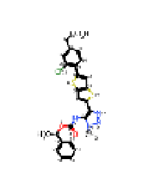 C[C@@H](OC(=O)Nc1c(-c2cc3sc(-c4ccc(CC(=O)O)cc4Cl)cc3s2)nnn1C)c1ccccc1